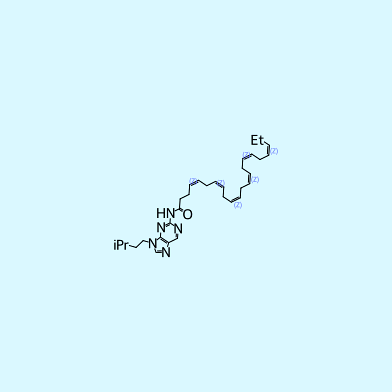 [CH2]C([CH2])CCn1cnc2cnc(NC(=O)CC/C=C\C/C=C\C/C=C\C/C=C\C/C=C\C/C=C\CC)nc21